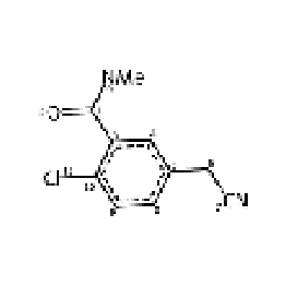 CNC(=O)c1cc(CC#N)ccc1Cl